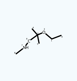 CCOC(C)(C)CNC